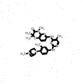 Cc1cc(Nc2ncc(C)c(Nc3ccc4c(n3)N(C)C(=O)C(C)(C)O4)n2)ccc1N1CC2CC1CN2C